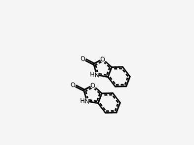 O=c1[nH]c2ccccc2o1.O=c1[nH]c2ccccc2o1